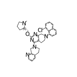 CN1CCC[C@H]1COc1nc2c(c(N3CCc4cccnc4C3)n1)CCN(c1cccc3cccc(Cl)c13)C2